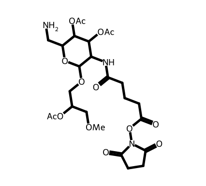 COCC(COC1OC(CN)C(OC(C)=O)C(OC(C)=O)C1NC(=O)CCCC(=O)ON1C(=O)CCC1=O)OC(C)=O